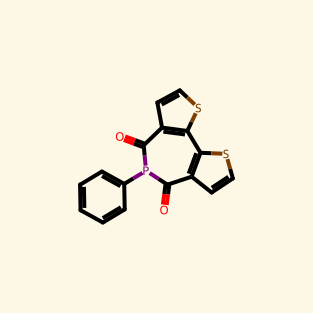 O=c1c2ccsc2c2sccc2c(=O)p1-c1ccccc1